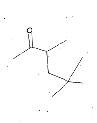 CC(=O)C(C)CC(C)(C)C